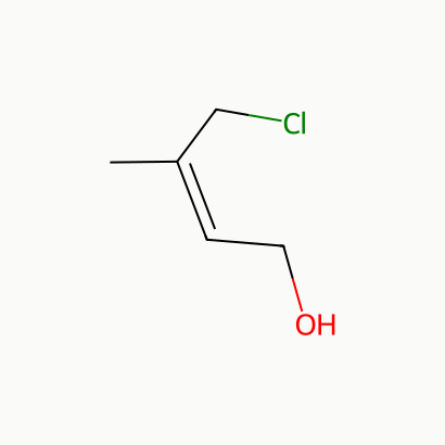 CC(=CCO)CCl